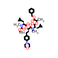 C[C@@H](OC(=O)[C@H](CC1CC1)N(C)C(=O)[C@@H](CCc1ccc(N2CCOCC2)cc1)OC(=O)[C@H](CC1CC1)N(C)C(=O)OC(C)(C)C)C(=O)OCc1ccccc1